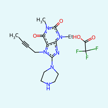 CC#CCn1c(N2CCNCC2)nc2c1c(=O)n(C)c(=O)n2CC.O=C(O)C(F)(F)F